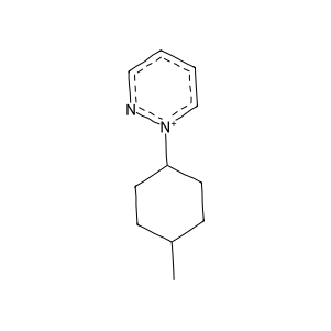 CC1CCC([n+]2ccccn2)CC1